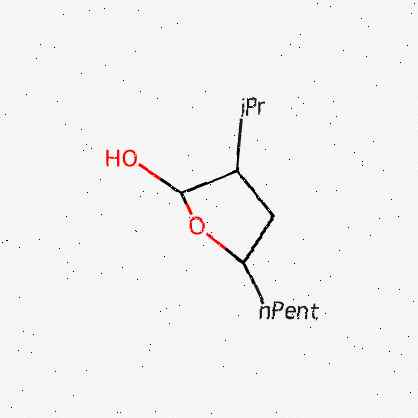 CCCCCC1CC(C(C)C)C(O)O1